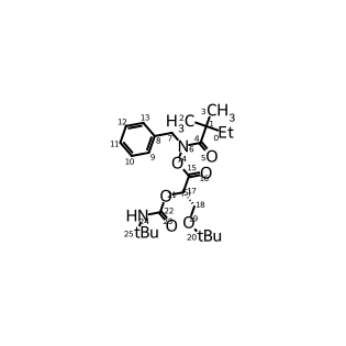 CCC(C)(C)C(=O)N(Cc1ccccc1)OC(=O)[C@H](COC(C)(C)C)OC(=O)NC(C)(C)C